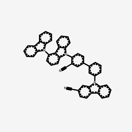 N#Cc1ccc2c3ccccc3n(-c3cccc(-c4ccc(-n5c6ccccc6c6c(-n7c8ccccc8c8ccccc87)cccc65)c(C#N)c4)c3)c2c1